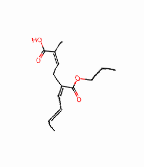 CC=CC=C(CC=C(C)C(=O)O)C(=O)OCCC